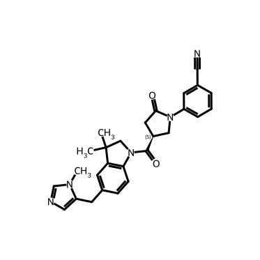 Cn1cncc1Cc1ccc2c(c1)C(C)(C)CN2C(=O)[C@H]1CC(=O)N(c2cccc(C#N)c2)C1